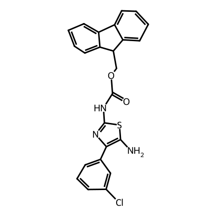 Nc1sc(NC(=O)OCC2c3ccccc3-c3ccccc32)nc1-c1cccc(Cl)c1